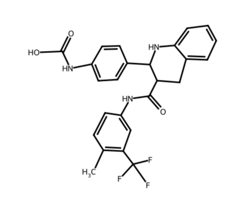 Cc1ccc(NC(=O)C2Cc3ccccc3NC2c2ccc(NC(=O)O)cc2)cc1C(F)(F)F